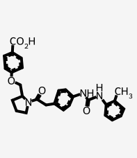 Cc1ccccc1NC(=O)Nc1ccc(CC(=O)N2CCCC2COc2ccc(C(=O)O)cc2)cc1